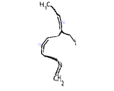 C=N/C=C\C(I)=C/C